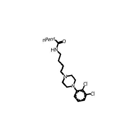 CCCCCC(=O)NCCCCN1CCN(c2cccc(Cl)c2Cl)CC1